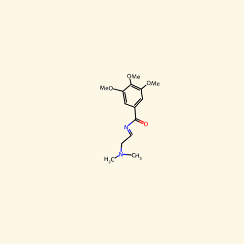 COc1cc(C(=O)N=CCN(C)C)cc(OC)c1OC